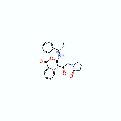 CC[C@H](Nc1oc(=O)c2ccccc2c1C(=O)CN1CCCC1=O)c1ccccc1